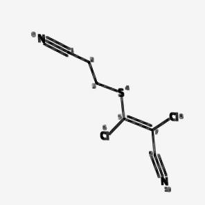 N#CCCSC(Cl)=C(Cl)C#N